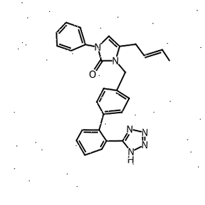 CC=CCc1cn(-c2ccccc2)c(=O)n1Cc1ccc(-c2ccccc2-c2nnn[nH]2)cc1